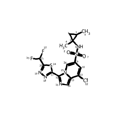 CC1CC1(C)NS(=O)(=O)c1cc(Cl)c2cnc(-c3nnc(C(F)F)s3)n2c1